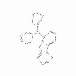 [CH]1c2ccccc2-c2cccc(N(c3ccccc3)c3ccccc3)c21